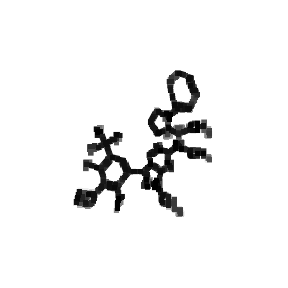 C[C@H]([C@H]1CCCN1c1ccccc1)N(C)c1ncc2c(-c3cc(C(F)(F)F)c(F)c(O)c3F)nn(C)c2n1